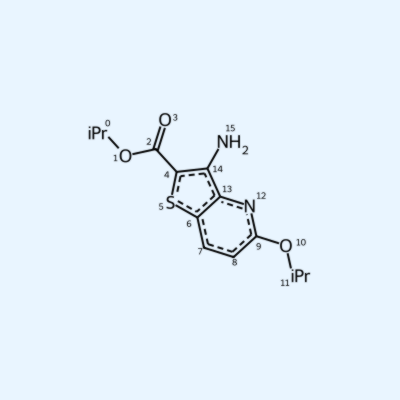 CC(C)OC(=O)c1sc2ccc(OC(C)C)nc2c1N